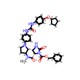 CN(C(=O)[C@@H]1CNC(=O)N1C(=O)OCc1ccccc1)C1CCN(c2ccc(NC(=O)Nc3ccc(OC4CCCC4)cc3)cc2)C1